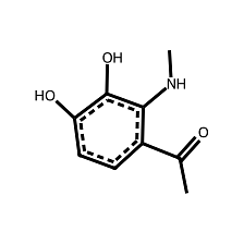 CNc1c(C(C)=O)ccc(O)c1O